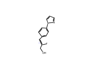 OC/C(F)=C/c1ccc(-n2cccn2)cc1